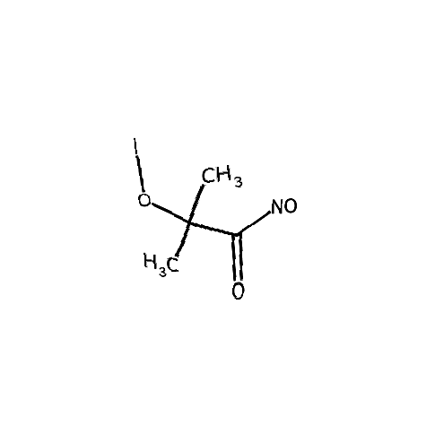 CC(C)(OI)C(=O)N=O